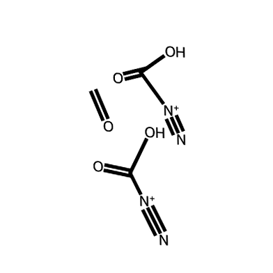 C=O.N#[N+]C(=O)O.N#[N+]C(=O)O